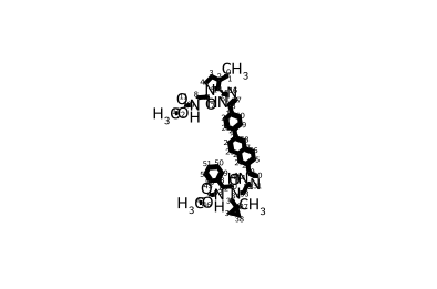 CCC1CCN(C(=O)CNC(=O)OC)[C@@H]1c1ncc(-c2ccc(-c3ccc4cc(-c5cnc(CN(CC6(C)CC6)C(=O)C(NC(=O)OC)c6ccccc6)[nH]5)ccc4c3)cc2)[nH]1